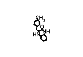 Cc1ccc(C[C@@H]2Nc3ccccc3NC2=O)cc1